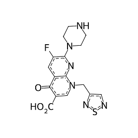 O=C(O)c1cn(Cc2cnsn2)c2nc(N3CCNCC3)c(F)cc2c1=O